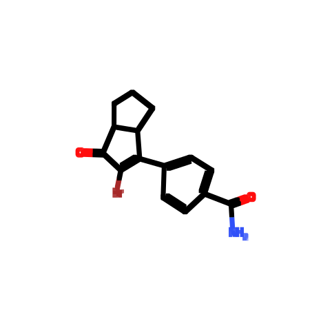 NC(=O)c1ccc(C2=C(Br)C(=O)C3CCCC23)cc1